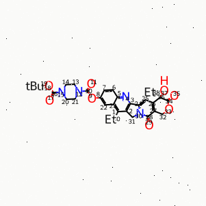 CCc1c2c(nc3ccc(OC(=O)N4CCN(C(=O)OC(C)(C)C)CC4)cc13)-c1cc3c(c(=O)n1C2)COC(=O)[C@@]3(O)CC